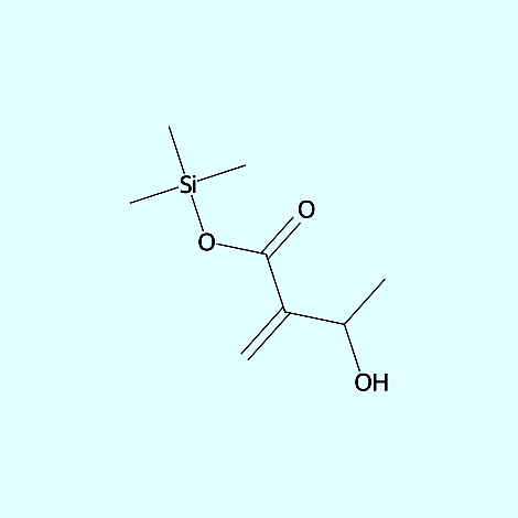 C=C(C(=O)O[Si](C)(C)C)C(C)O